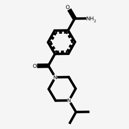 CC(C)N1CCN(C(=O)c2ccc(C(N)=O)cc2)CC1